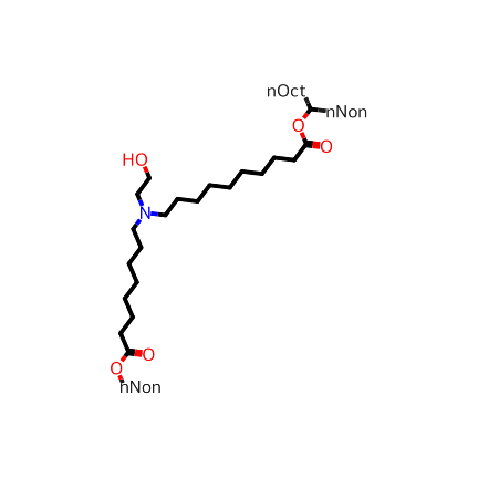 CCCCCCCCCOC(=O)CCCCCCCN(CCO)CCCCCCCCCC(=O)OC(CCCCCCCC)CCCCCCCCC